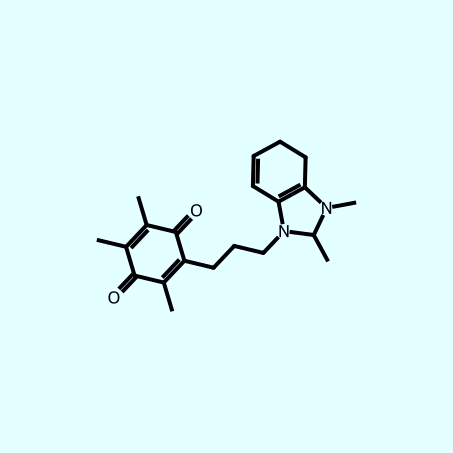 CC1=C(C)C(=O)C(CCCN2C3=C(CCC=C3)N(C)C2C)=C(C)C1=O